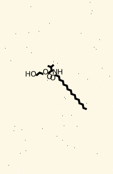 CCCCCCCCCCCCCCCC(=O)NC(C(=O)OCCCO)C(C)C